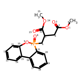 COC(=O)CC(CP1(=O)Oc2ccccc2-c2ccccc21)C(=O)OC